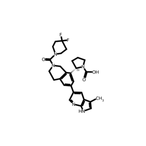 Cc1c[nH]c2ncc(-c3cc4c(c([C@@H]5CCCN5C(=O)O)c3)CN(C(=O)N3CCC(F)(F)CC3)CC4)cc12